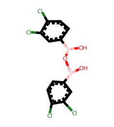 OB(OB(O)c1ccc(Cl)c(Cl)c1)c1ccc(Cl)c(Cl)c1